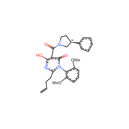 C=CCCc1nc(O)c(C(=O)N2CC[C@@H](c3ccccc3)C2)c(=O)n1-c1c(OC)cccc1OC